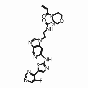 C=CC(=O)N1CCOC[C@H]1C(=O)NCCn1cnc2cnc(Nc3ncc(-c4ncncc4F)s3)cc21